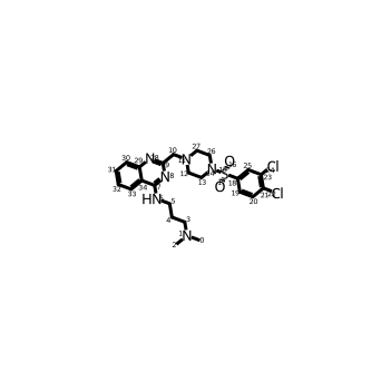 CN(C)CCCNc1nc(CN2CCN(S(=O)(=O)c3ccc(Cl)c(Cl)c3)CC2)nc2ccccc12